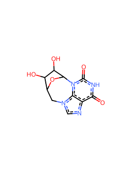 O=c1[nH]c(=O)n2c3c1ncn3CC1OC2C(O)C1O